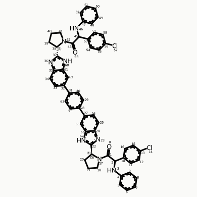 O=C(C(Nc1ccccc1)c1ccc(Cl)cc1)N1CCC[C@H]1c1nc2ccc(-c3ccc(-c4ccc5nc([C@@H]6CCCN6C(=O)C(Nc6ccccc6)c6ccc(Cl)cc6)[nH]c5c4)cc3)cc2[nH]1